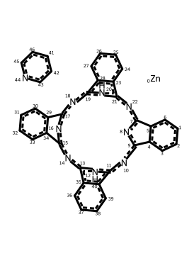 [Zn].c1ccc2c(c1)-c1nc-2nc2[nH]c(nc3nc(nc4[nH]c(n1)c1ccccc41)-c1ccccc1-3)c1ccccc21.c1ccncc1